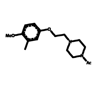 COc1ccc(OCCN2CCN(C(C)=O)CC2)cc1C